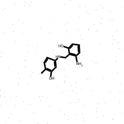 Cc1ccc(NCc2c(N)cccc2O)cc1O